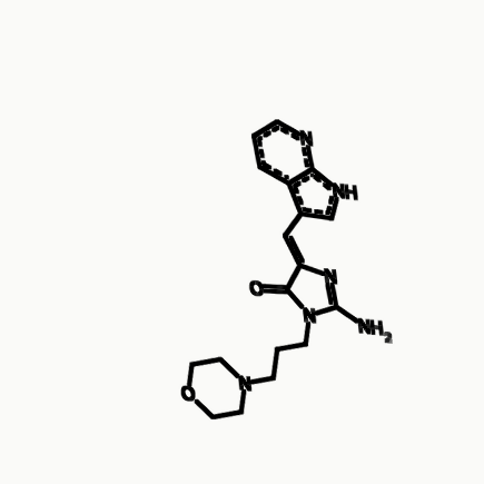 NC1=NC(=Cc2c[nH]c3ncccc23)C(=O)N1CCCN1CCOCC1